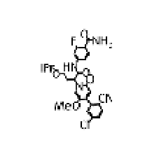 COc1cn(C(CCOC(C)C)C(=O)Nc2ccc(C(N)=O)c(F)c2)c(=O)cc1-c1cc(Cl)ccc1C#N